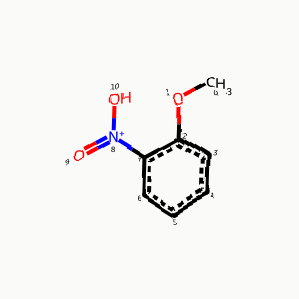 COc1ccccc1[N+](=O)O